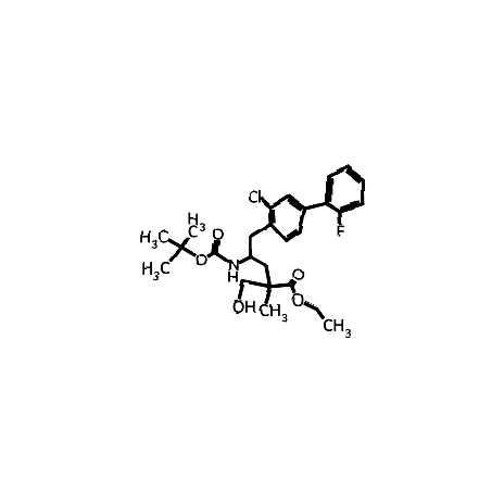 CCOC(=O)C(C)(CO)CC(Cc1ccc(-c2ccccc2F)cc1Cl)NC(=O)OC(C)(C)C